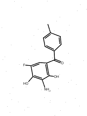 Cc1ccc(C(=O)c2cc(F)c(O)c(N)c2O)cc1